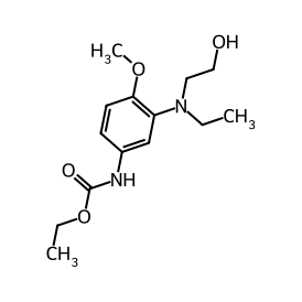 CCOC(=O)Nc1ccc(OC)c(N(CC)CCO)c1